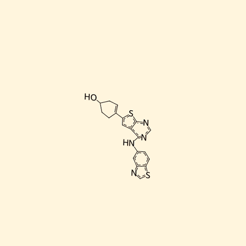 OC1CC=C(c2cc3c(Nc4ccc5scnc5c4)ncnc3s2)CC1